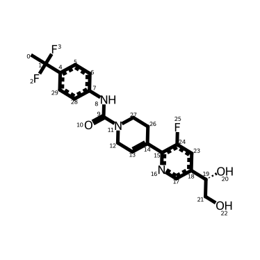 CC(F)(F)c1ccc(NC(=O)N2CC=C(c3ncc([C@H](O)CO)cc3F)CC2)cc1